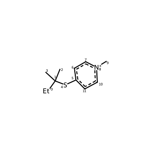 CCC(C)(C)Sc1cc[n+](C)cc1